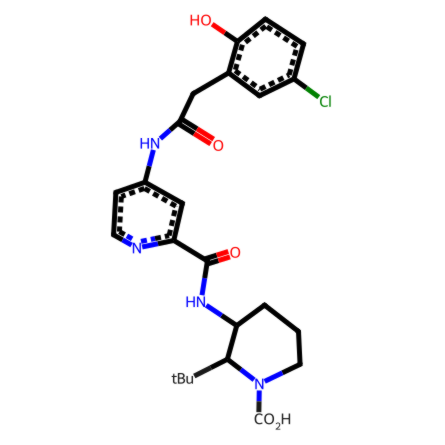 CC(C)(C)C1C(NC(=O)c2cc(NC(=O)Cc3cc(Cl)ccc3O)ccn2)CCCN1C(=O)O